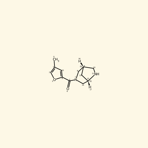 Cc1coc(C(=O)N2C[C@@H]3CN[C@@H](C3)C2)c1